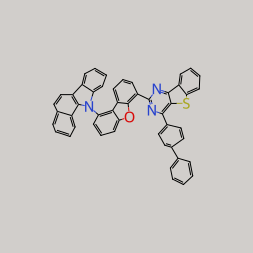 c1ccc(-c2ccc(-c3nc(-c4cccc5c4oc4cccc(-n6c7ccccc7c7ccc8ccccc8c76)c45)nc4c3sc3ccccc34)cc2)cc1